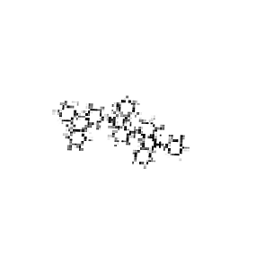 c1ccc(-n2c3ccccc3c3c(-c4cccc5c4c4ccccc4n5-c4ccc5c6ccccc6c6ccccc6c5c4)cccc32)cc1